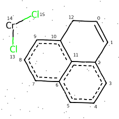 C1=Cc2cccc3cccc(c23)C1.[Cl][Cr][Cl]